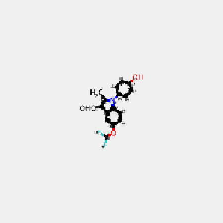 Cc1c(C=O)c2cc(OC(F)F)ccc2n1-c1ccc(O)cc1